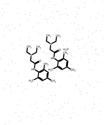 CCN(CC)CC(=O)Nc1c(C)cc(C)cc1C.CCN(CC)CC(=O)Nc1c(C)cc(C)cc1C.O